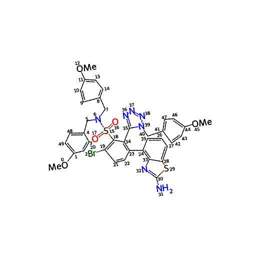 COc1ccc(CN(Cc2ccc(OC)cc2)S(=O)(=O)c2c(Br)ccc(-c3cccc4sc(N)nc34)c2-c2nnnn2Cc2ccc(OC)cc2)cc1